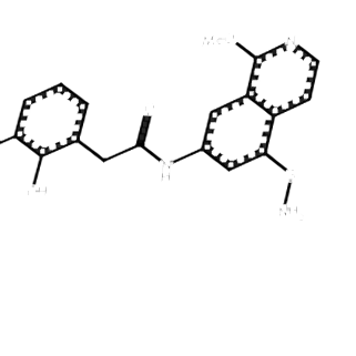 COc1nccc2c(SN)cc(NC(=O)Cc3cccc(C)c3O)cc12